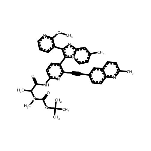 COc1ncccc1-c1nc2cc(C)ccn2c1-c1ccc(NC(=O)C(C)N(C)C(=O)OC(C)(C)C)nc1C#Cc1ccc2nc(C)ccc2c1